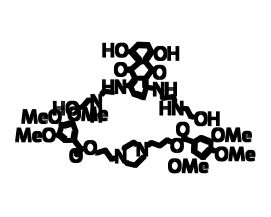 COc1cc(C(=O)OCCCN2CCCN(CCCOC(=O)c3cc(OC)c(OC)c(OC)c3)CC2)cc(OC)c1OC.O=C1c2c(O)ccc(O)c2C(=O)c2c(NCCNCCO)ccc(NCCNCCO)c21